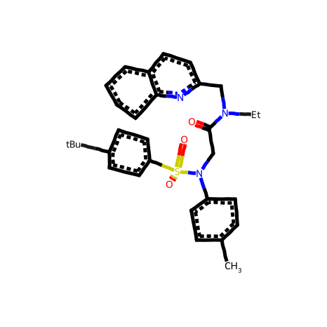 CCN(Cc1ccc2ccccc2n1)C(=O)CN(c1ccc(C)cc1)S(=O)(=O)c1ccc(C(C)(C)C)cc1